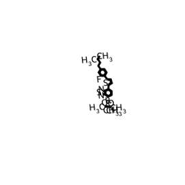 CC(C)CCc1ccc(-c2ccc(-c3ccc(B4OC(C)(C)C(C)(C)O4)c4nsnc34)s2)c(F)c1